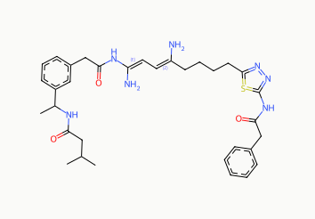 CC(C)CC(=O)NC(C)c1cccc(CC(=O)N/C(N)=C/C=C(\N)CCCCc2nnc(NC(=O)Cc3ccccc3)s2)c1